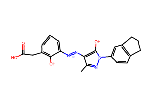 Cc1nn(-c2ccc3c(c2)CCC3)c(O)c1/N=N/c1cccc(CC(=O)O)c1O